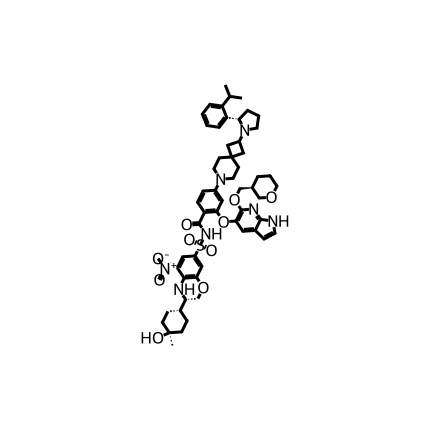 CC(C)c1ccccc1[C@@H]1CCCN1C1CC2(CCN(c3ccc(C(=O)NS(=O)(=O)c4cc5c(c([N+](=O)[O-])c4)N[C@@H]([C@H]4CC[C@](C)(O)CC4)CO5)c(Oc4cc5cc[nH]c5nc4OC[C@H]4CCCOC4)c3)CC2)C1